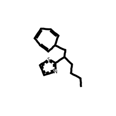 CCCCC(CC1C=CC=CC=C1)c1nccs1